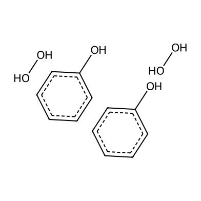 OO.OO.Oc1ccccc1.Oc1ccccc1